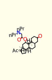 CCCN(CCC)CC(=O)OC1C[C@]2(C)[C@@H](C(C)=O)CC[C@H]2[C@@H]2CCC3CC(=O)CC[C@]3(C)[C@@H]12